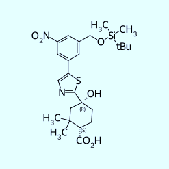 CC1(C)C[C@@](O)(c2ncc(-c3cc(CO[Si](C)(C)C(C)(C)C)cc([N+](=O)[O-])c3)s2)CC[C@@H]1C(=O)O